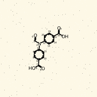 O=[C]N(c1ccc(C(=O)O)cc1)c1ccc(C(=O)O)cc1